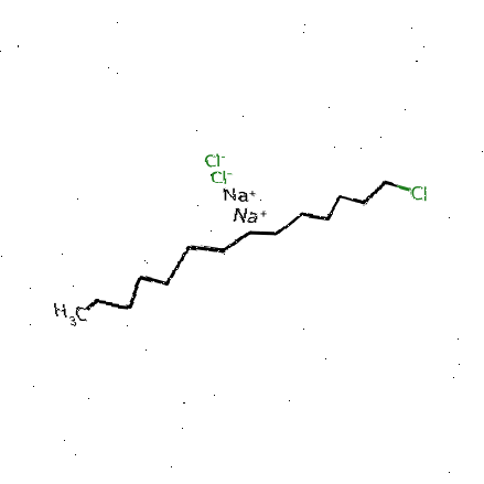 CCCCCCCCCCCCCCCl.[Cl-].[Cl-].[Na+].[Na+]